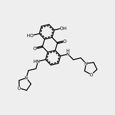 O=C1c2c(O)ccc(O)c2C(=O)c2c(NCCN3CCOC3)ccc(NCCN3CCOC3)c21